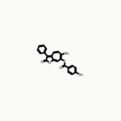 O=C(Sc1cc2oc(=O)c(-c3ccccc3)c-2ccc1S)c1ccc(S)cc1